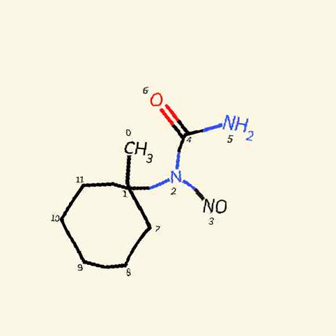 CC1(N(N=O)C(N)=O)CCCCC1